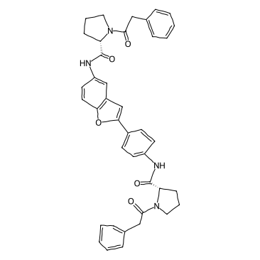 O=C(Nc1ccc(-c2cc3cc(NC(=O)[C@@H]4CCCN4C(=O)Cc4ccccc4)ccc3o2)cc1)[C@@H]1CCCN1C(=O)Cc1ccccc1